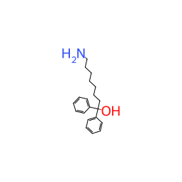 NCCCCCCCC(O)(c1ccccc1)c1ccccc1